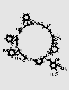 COc1ccc(CC[C@H]2OC(=O)[C@@H]3CCCCN3C(=O)C(=O)C(C)(C)COC(=O)/C=C/CCN(C)C(=O)[C@@H](Cc3ccccc3)NC(=O)CN(C)C(=O)[C@@H](Cc3ccccc3)NC(=O)[C@H](Cc3ccc(O)cc3)N(C)C(=O)COc3cccc2c3)c(O)c1OC